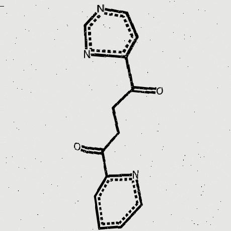 O=C(CCC(=O)c1ccncn1)c1ccccn1